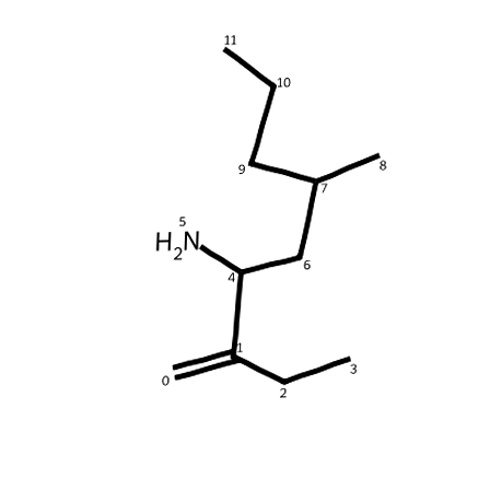 C=C(CC)C(N)CC(C)CCC